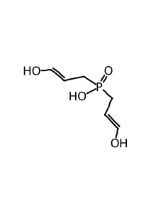 O=P(O)(CC=CO)CC=CO